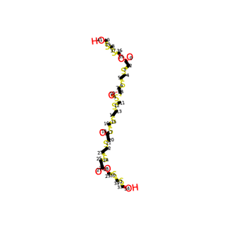 O=C(CSCCSCC[S+]([O-])CSCCSCSC(=O)CSCCSCC(=O)OCSCSCO)OCSCSCO